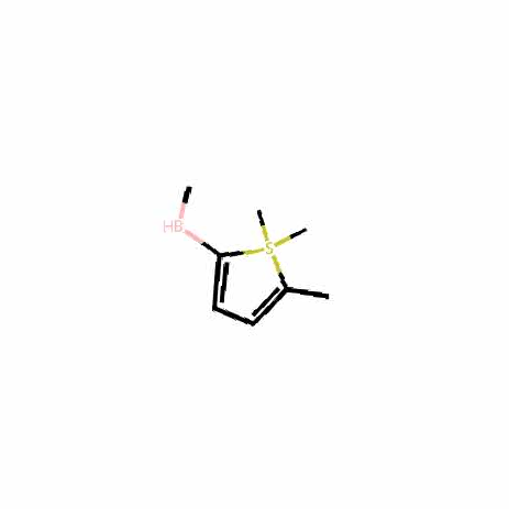 CBC1=CC=C(C)S1(C)C